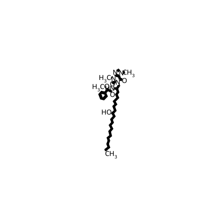 CCCCCCCCCCCCCC(O)CCCCCCCC(Cn1c(=O)c2c(ncn2C)n(C)c1=O)NC(=O)[C@H](OC)c1ccccc1